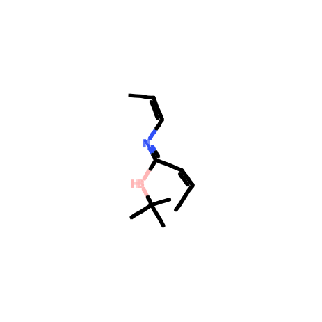 C\C=C/N=C(BC(C)(C)C)\C=C/C